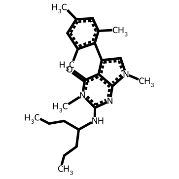 CCCC(CCC)Nc1nc2c(c(-c3c(C)cc(C)cc3C)cn2C)c(=O)n1C